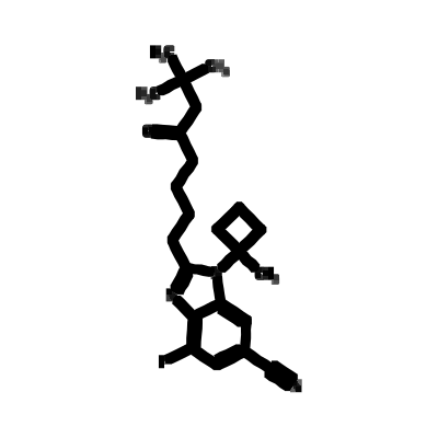 CC(C)(C)CC(=O)CCCCc1nc2c(F)cc(C#N)cc2n1C1(C)CCC1